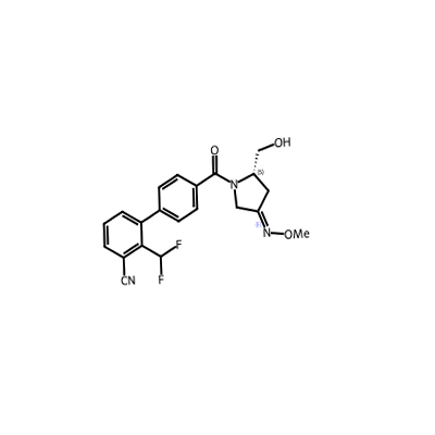 CO/N=C1\C[C@@H](CO)N(C(=O)c2ccc(-c3cccc(C#N)c3C(F)F)cc2)C1